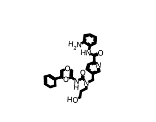 Nc1ccccc1NC(=O)c1ccc(CN(CCCO)C(=O)NC2=COC=C(C3=CC=CCC3)O2)cn1